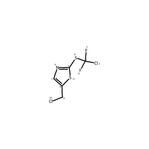 FC(F)(Cl)Sc1ncc(CCl)s1